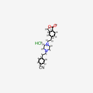 Cl.N#Cc1ccc(CCN2CCN(CCc3ccc4c(c3)COC4=O)CC2)cc1